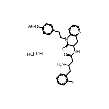 COc1ccc(CCN2C(=O)C(NC(=O)C[C@H](N)Cc3ccccc3F)Cc3ncccc32)cc1.Cl.Cl